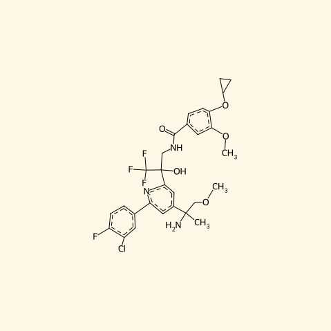 COCC(C)(N)c1cc(-c2ccc(F)c(Cl)c2)nc(C(O)(CNC(=O)c2ccc(OC3CC3)c(OC)c2)C(F)(F)F)c1